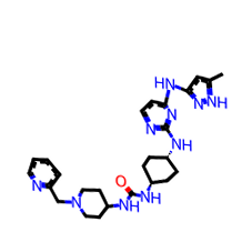 Cc1cc(Nc2ccnc(N[C@H]3CC[C@H](NC(=O)NC4CCN(Cc5ccccn5)CC4)CC3)n2)n[nH]1